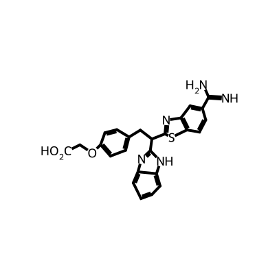 N=C(N)c1ccc2sc(C(Cc3ccc(OCC(=O)O)cc3)c3nc4ccccc4[nH]3)nc2c1